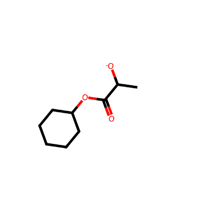 CC([O])C(=O)OC1CCCCC1